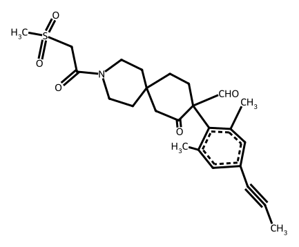 CC#Cc1cc(C)c(C2(C=O)CCC3(CCN(C(=O)CS(C)(=O)=O)CC3)CC2=O)c(C)c1